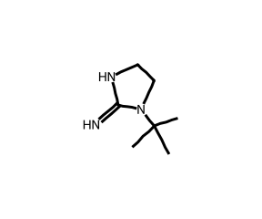 CC(C)(C)N1CCNC1=N